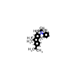 Cc1ccccc1N(c1cc2c(cc1C)C(C)(C)c1cc(C(C)C)ccc1-2)C(C)(C)C